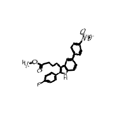 COC(=O)CCCc1c(-c2ccc(F)cc2)[nH]c2ccc(-c3ccc([N+](=O)[O-])cc3)cc12